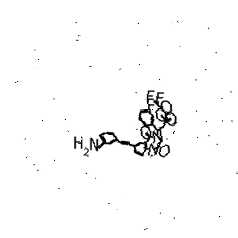 CN1C(=O)CN(C(CC(=O)OC(=O)C(F)(F)F)c2ccccc2)C(=O)c2cc(C#Cc3cccc(CN)c3)ccc21